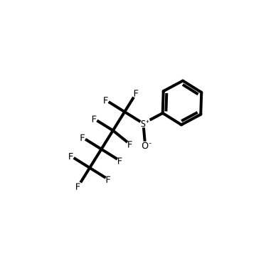 [O-][S+](c1ccccc1)C(F)(F)C(F)(F)C(F)(F)C(F)(F)F